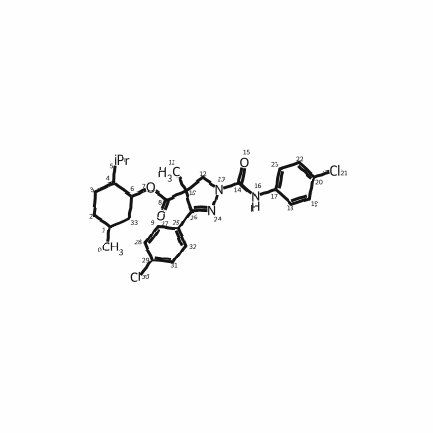 CC1CCC(C(C)C)C(OC(=O)C2(C)CN(C(=O)Nc3ccc(Cl)cc3)N=C2c2ccc(Cl)cc2)C1